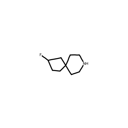 FC1CCC2(CCNCC2)C1